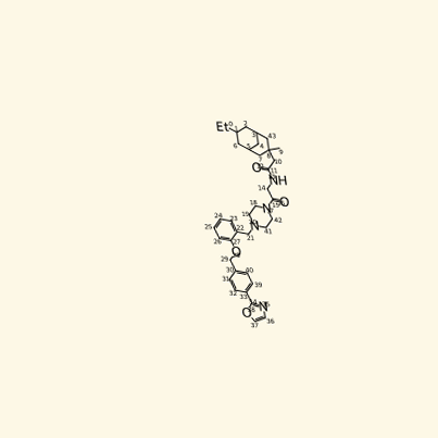 CCC1CC2CC(C1)CC(C)(CC(=O)NCC(=O)N1CCN(Cc3ccccc3OCc3ccc(-c4ncco4)cc3)CC1)C2